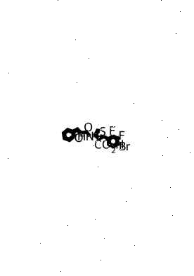 O=C(Nc1csc(-c2ccc(Br)c(F)c2F)c1C(=O)O)c1cc2ccccc2o1